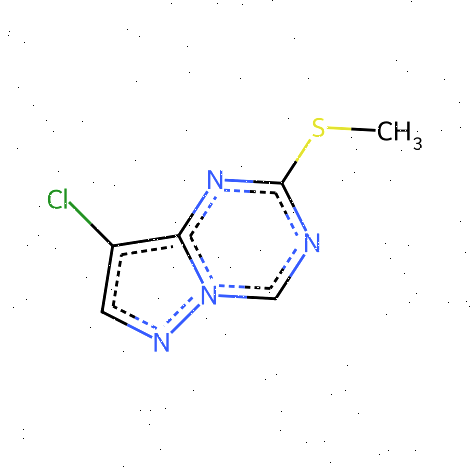 CSc1ncn2ncc(Cl)c2n1